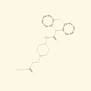 CCCCCCCCC(=O)CCN1CCC(NC(=O)C2c3ccccc3Oc3ccccc32)CC1